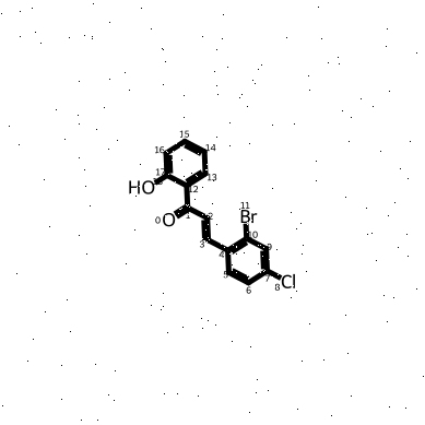 O=C(C=Cc1ccc(Cl)cc1Br)c1ccccc1O